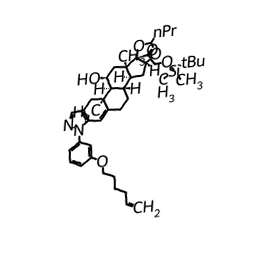 C=CCCCCOc1cccc(-n2ncc3c2C=C2CC[C@@H]4[C@H]([C@@H](O)C[C@@]5(C)[C@H]4C[C@H]4OC(CCC)O[C@]45C(=O)CO[Si](C)(C)C(C)(C)C)[C@@]2(C)C3)c1